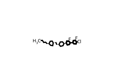 CCCCC[C@H]1CC[C@H](CC[C@H]2CC[C@H](c3ccc(-c4ccc(Cl)c(F)c4)c(F)c3)CC2)CC1